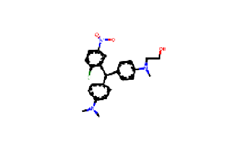 CN(C)c1ccc(C(c2ccc(N(C)CCO)cc2)c2cc([N+](=O)[O-])ccc2Cl)cc1